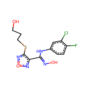 OCCCSc1nonc1/C(=N/O)Nc1ccc(F)c(Cl)c1